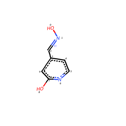 O/N=C/c1ccnc(O)c1